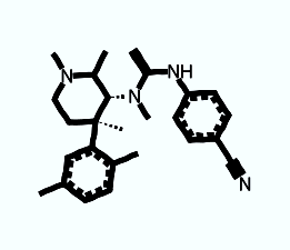 C=C(Nc1ccc(C#N)cc1)N(C)[C@H]1C(C)N(C)CC[C@]1(C)c1cc(C)ccc1C